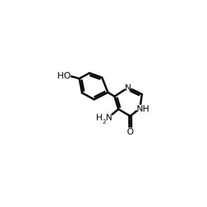 Nc1c(-c2ccc(O)cc2)nc[nH]c1=O